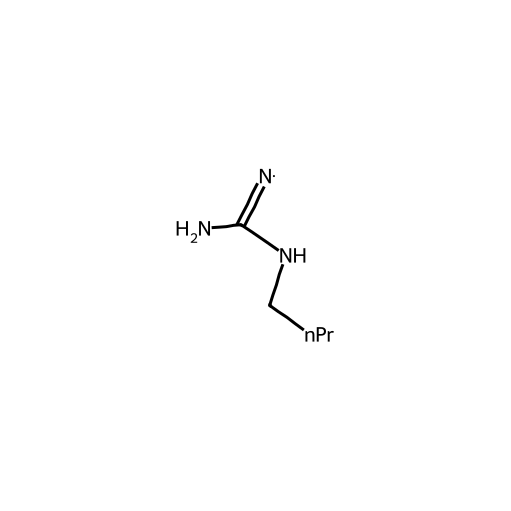 CCCCNC(=[N])N